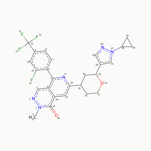 Cn1ncc2c(-c3ccc(C(F)(F)F)cc3F)nc(C3CCOC(c4cnn(C5CC5)c4)C3)cc2c1=O